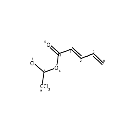 C=C/C=C/C(=O)OC(Cl)C(Cl)(Cl)Cl